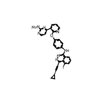 CNc1nccc(-c2cccnc2Oc2ccc(Nc3nnc(C#CC4CC4)c4c(I)cccc34)cc2)n1